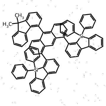 CC1(C)c2ccccc2-c2c(-c3c4cccc(-c5cccc6c5[Si](c5ccccc5)(c5ccccc5)c5ccccc5-6)c4cc4c(-c5cccc6c5[Si](c5ccccc5)(c5ccccc5)c5ccccc5-6)cccc34)cccc21